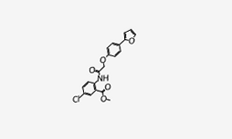 COC(=O)c1cc(Cl)ccc1NC(=O)COc1ccc(-c2ccco2)cc1